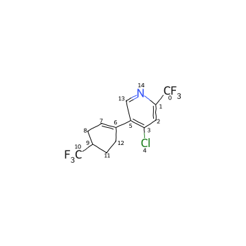 FC(F)(F)c1cc(Cl)c(C2=CCC(C(F)(F)F)CC2)cn1